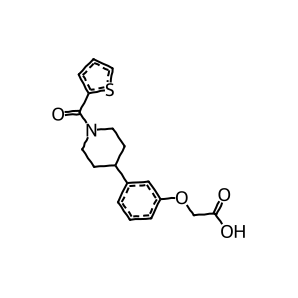 O=C(O)COc1cccc(C2CCN(C(=O)c3cccs3)CC2)c1